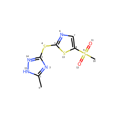 Cc1nc(Sc2ncc(S(C)(=O)=O)s2)n[nH]1